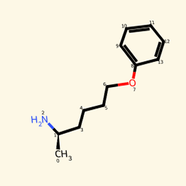 C[C@@H](N)CCCCOc1ccccc1